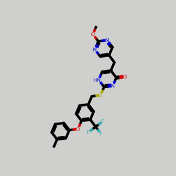 COc1ncc(Cc2c[nH]c(SCc3ccc(Oc4cccc(C)c4)c(C(F)(F)F)c3)nc2=O)cn1